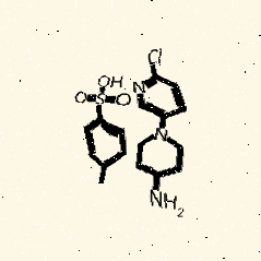 Cc1ccc(S(=O)(=O)O)cc1.NC1CCN(c2ccc(Cl)nc2)CC1